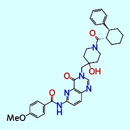 COc1ccc(C(=O)Nc2ccc3ncn(CC4(O)CCN(C(=O)[C@H]5CCCC[C@@H]5c5ccccc5)CC4)c(=O)c3n2)cc1